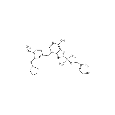 COc1ccc(Cn2cnc(O)c3nc(C(C)(C)OCc4ccccc4)nc2-3)cc1OC1CCCC1